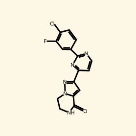 O=C1NCCn2nc(-c3ccnc(-c4ccc(Cl)c(F)c4)n3)cc21